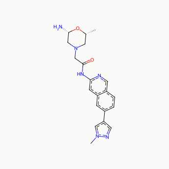 C[C@@H]1CN(CC(=O)Nc2cc3cc(-c4cnn(C)c4)ccc3cn2)C[C@H](N)O1